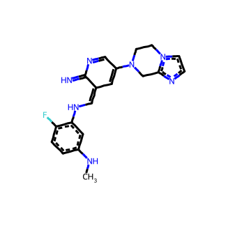 CNc1ccc(F)c(N/C=C2/C=C(N3CCn4ccnc4C3)C=NC2=N)c1